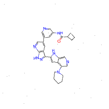 O=C(Nc1cncc(-c2cnc3[nH]nc(-c4cc5c(N6CCCCC6)cncc5[nH]4)c3c2)c1)C1CCC1